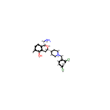 Cc1ccc2c(c1O)C[C@@H](C1CCN(Cc3ccc(Cl)cc3Cl)CC1)O[C@H]2CN